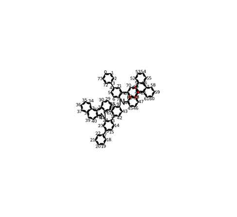 c1ccc(-c2ccc(N(c3ccc(-c4ccc(-c5ccccc5)cc4-n4c5ccccc5c5c6ccccc6ccc54)cc3)c3cccc(-c4cc5ccccc5c5ccccc45)c3)c(-c3ccccc3)c2)cc1